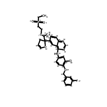 CCS(=O)(=O)CCOC(C)C1(c2cc3c(Nc4ccc(OCc5cccc(F)c5)c(Cl)c4)ncnc3cc2F)CC=CO1